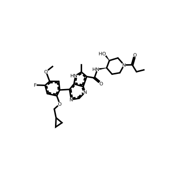 CCC(=O)N1CC[C@@H](NC(=O)c2c(C)[nH]c3c(-c4cc(OC)c(F)cc4OCC4CC4)ncnc23)[C@@H](O)C1